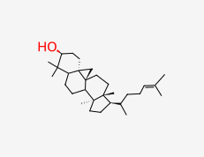 CC(C)=CCCC(C)[C@H]1CC[C@@]2(C)C3CCC4C(C)(C)[C@@H](O)CC[C@@]45C[C@@]35CC[C@]12C